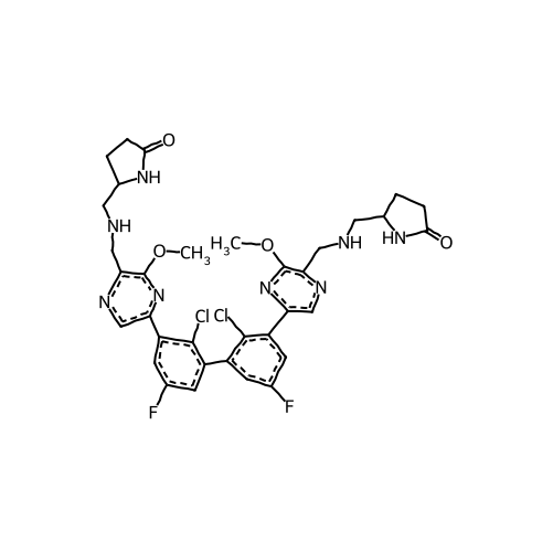 COc1nc(-c2cc(F)cc(-c3cc(F)cc(-c4cnc(CNCC5CCC(=O)N5)c(OC)n4)c3Cl)c2Cl)cnc1CNCC1CCC(=O)N1